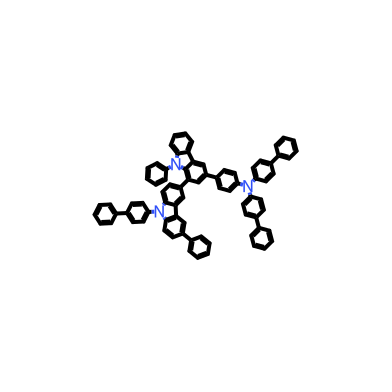 c1ccc(-c2ccc(N(c3ccc(-c4ccccc4)cc3)c3ccc(-c4cc(-c5ccc6c(c5)c5cc(-c7ccccc7)ccc5n6-c5ccc(-c6ccccc6)cc5)c5c(c4)c4ccccc4n5-c4ccccc4)cc3)cc2)cc1